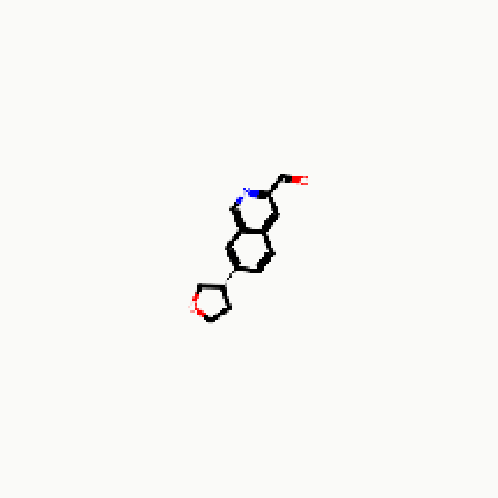 O=Cc1cc2ccc([C@@H]3CCOC3)cc2cn1